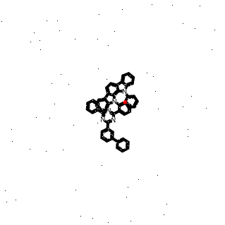 c1ccc(-c2cccc(-c3nc(-c4ccccc4)nc(-c4ccccc4-n4c5ccccc5c5ccc6c7ccccc7n(-c7ccccc7)c6c54)n3)c2)cc1